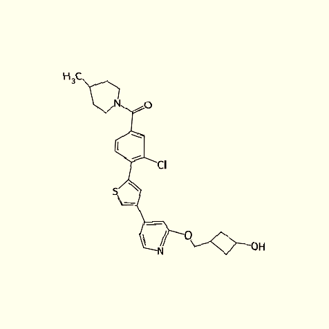 CC1CCN(C(=O)c2ccc(-c3cc(-c4ccnc(OCC5CC(O)C5)c4)cs3)c(Cl)c2)CC1